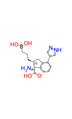 N[C@@]1(C(=O)O)c2cccc(-c3cn[nH]c3)c2C[C@@H]1CCCB(O)O